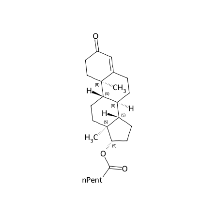 CCCCCC(=O)O[C@H]1CC[C@H]2[C@@H]3CCC4=CC(=O)CC[C@]4(C)[C@H]3CC[C@]12C